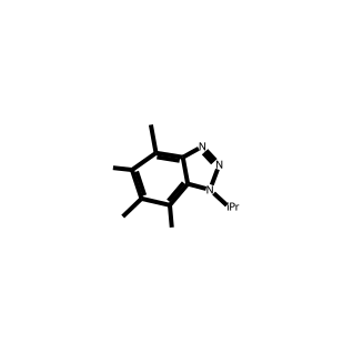 Cc1c(C)c(C)c2c(nnn2C(C)C)c1C